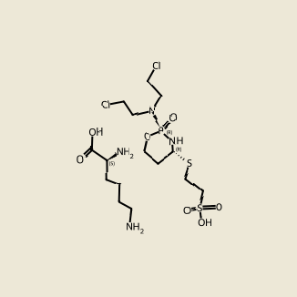 NCCCC[C@H](N)C(=O)O.O=[P@]1(N(CCCl)CCCl)N[C@H](SCCS(=O)(=O)O)CCO1